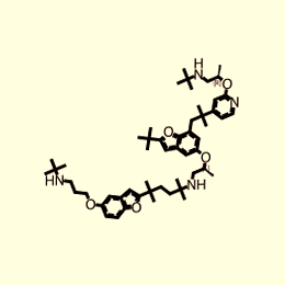 C[C@H](CNC(C)(C)C)Oc1cc(C(C)(C)Cc2cc(O[C@@H](C)CNC(C)(C)CCC(C)(C)c3cc4cc(OCCCNC(C)(C)C)ccc4o3)cc3cc(C(C)(C)C)oc23)ccn1